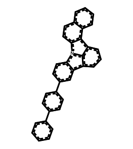 c1ccc(-c2ccc(-c3ccc4c(c3)c3cccc5c6c7ccccc7ccc6n4c35)cc2)cc1